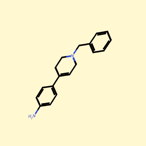 Nc1ccc(C2=CCN(Cc3ccccc3)CC2)cc1